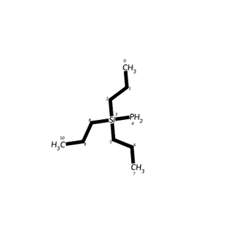 CCC[Si](P)(CCC)CCC